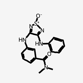 CN(C)C(=O)c1cccc(Nc2n[s+]([O-])nc2Nc2ccccc2)c1